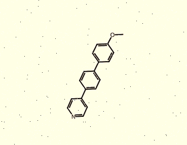 COc1ccc(-c2ccc(-c3ccncc3)cc2)cc1